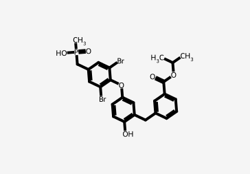 CC(C)OC(=O)c1cccc(Cc2cc(Oc3c(Br)cc(CP(C)(=O)O)cc3Br)ccc2O)c1